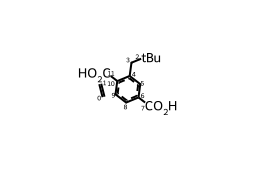 C=C.CC(C)(C)Cc1cc(C(=O)O)ccc1C(=O)O